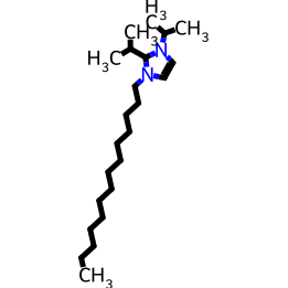 CCCCCCCCCCCCCCN1C=CN(C(C)C)C1C(C)C